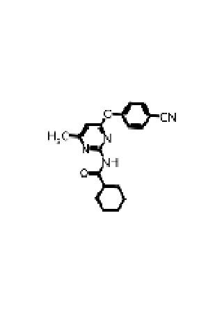 Cc1cc(Oc2ccc(C#N)cc2)nc(NC(=O)C2CCCCC2)n1